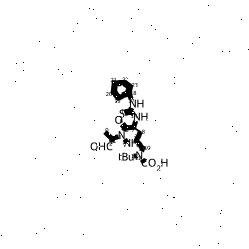 CC(C=O)N(N)C(=O)[C@H](CCCN(C(=O)O)C(C)(C)C)NC(=S)Nc1ccccc1